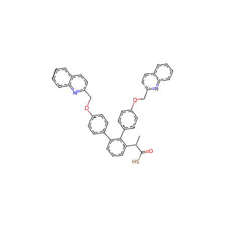 CC(C(=O)S)c1cccc(-c2ccc(OCc3ccc4ccccc4n3)cc2)c1-c1ccc(OCc2ccc3ccccc3n2)cc1